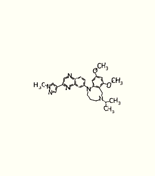 COc1cc(OC)c2c(c1)N(c1ccc3ncc(-c4cnn(C)c4)nc3c1)CCCN(C(C)C)C2